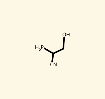 N#CC(P)CO